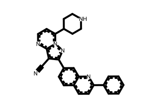 N#Cc1c(-c2ccc3ccc(-c4ccccc4)nc3c2)nn2c(C3CCNCC3)ccnc12